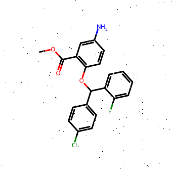 COC(=O)c1cc(N)ccc1OC(c1ccc(Cl)cc1)c1ccccc1F